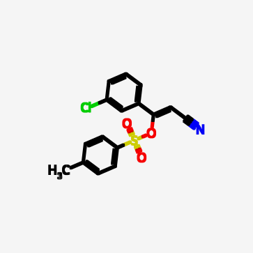 Cc1ccc(S(=O)(=O)O/C(=C\C#N)c2cccc(Cl)c2)cc1